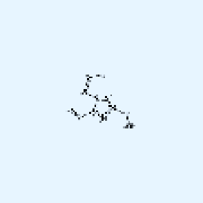 C=Cc1nc(CO)sc1/C=C\C